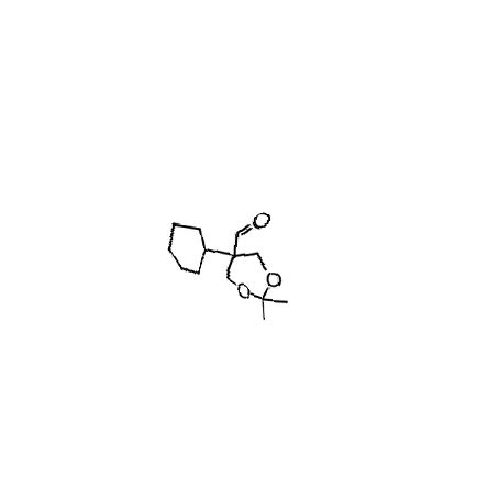 CC1(C)OCC(C=O)(C2CCCCC2)CO1